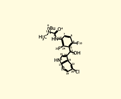 CCCCN(C)C(=O)Nc1ccc(F)c(C(O)c2c[nH]c3ncc(Cl)cc23)c1F